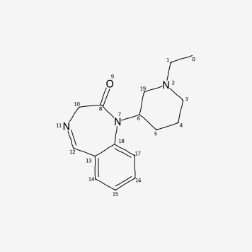 CCN1CCCC(N2C(=O)CN=Cc3ccccc32)C1